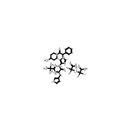 CC1CCN(C(=O)C(c2ccccc2)n2cnc(NC(=O)[C@@H](Cc3ccsc3)NC(=O)C(C)(C)N)c2)CC1.O=C(O)C(F)(F)F.O=C(O)C(F)(F)F